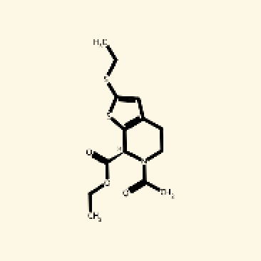 CCOC(=O)[C@H]1c2sc(SCC)cc2CCN1C(C)=O